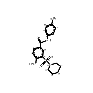 COc1ccc(C(=O)Nc2ccc(C(C)C)cc2)cc1S(=O)(=O)N1CCCCC1